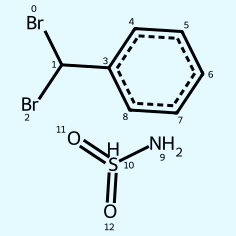 BrC(Br)c1ccccc1.N[SH](=O)=O